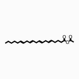 CCCCCC=CCC=CCC=CCC=CCCCC(=O)OC(C)=O